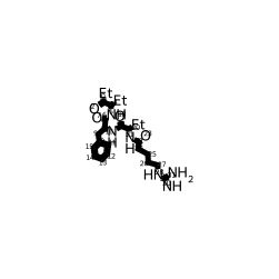 CCC(=O)C(CC)NC(=O)C(Cc1ccccc1)NC(=O)C(CC)NC(=O)CCCCNC(=N)N